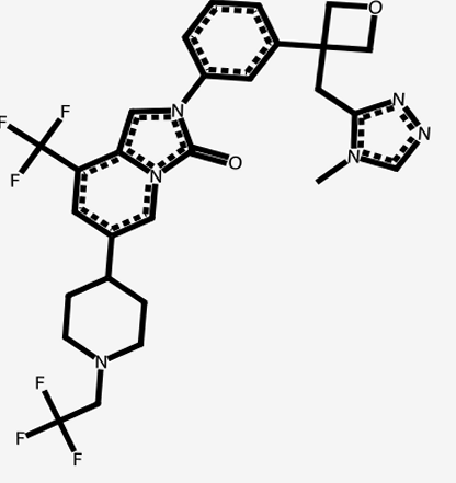 Cn1cnnc1CC1(c2cccc(-n3cc4c(C(F)(F)F)cc(C5CCN(CC(F)(F)F)CC5)cn4c3=O)c2)COC1